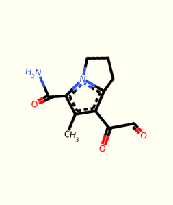 Cc1c(C(=O)C=O)c2n(c1C(N)=O)CCC2